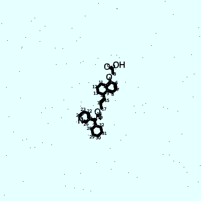 O=C(O)COc1cccc2c1CCCC2C=CCON=C(c1cccnc1)C1CCCCC1